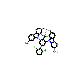 Cc1ccc2c3ccc(C)cc3n(-c3cc(-c4c(F)cccc4F)cc(-n4c5cc(C)ccc5c5ccc(C)cc54)c3C(F)(F)F)c2c1